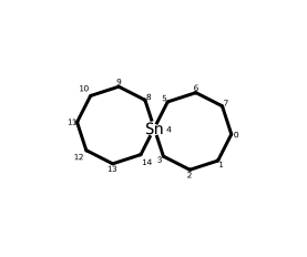 C1CC[CH2][Sn]2([CH2]CC1)[CH2]CCCCC[CH2]2